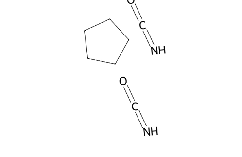 C1CCCC1.N=C=O.N=C=O